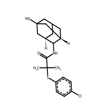 CC(C)(Sc1ccc(Cl)cc1)C(=O)NC1[C@@H]2CC3C[C@H]1CC(O)(C3)C2